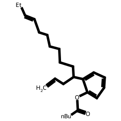 C=CCC(CCCCCC/C=C/CC)c1ccccc1OC(=O)CCCC